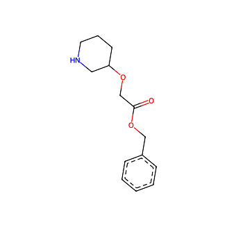 O=C(COC1CCCNC1)OCc1ccccc1